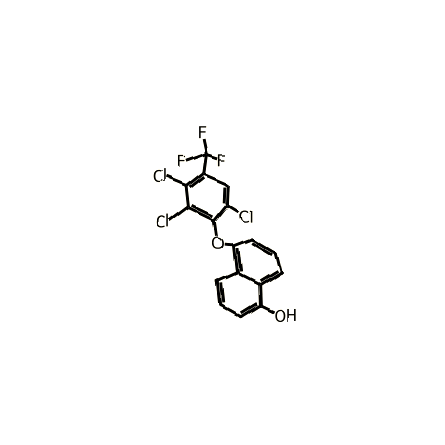 Oc1cccc2c(Oc3c(Cl)cc(C(F)(F)F)c(Cl)c3Cl)cccc12